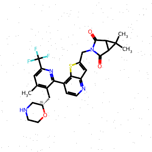 Cc1cc(C(F)(F)F)nc(-c2ccnc3cc(CN4C(=O)C5C(C4=O)C5(C)C)sc23)c1C[C@H]1CNCCO1